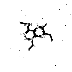 CCc1nc2c(nc1C)C(NC)=NSN2CC